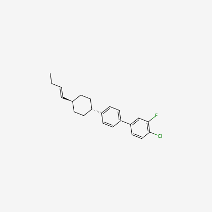 CC/C=C/[C@H]1CC[C@H](c2ccc(-c3ccc(Cl)c(F)c3)cc2)CC1